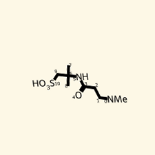 CNCCC(=O)NC(C)(C)CS(=O)(=O)O